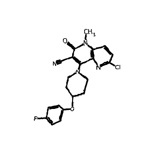 Cn1c(=O)c(C#N)c(N2CCC(Oc3ccc(F)cc3)CC2)c2nc(Cl)ccc21